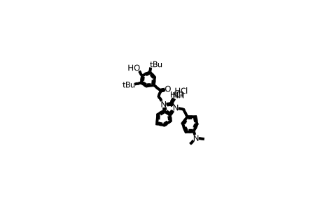 CN(C)c1ccc(Cn2c(=N)n(CC(=O)c3cc(C(C)(C)C)c(O)c(C(C)(C)C)c3)c3ccccc32)cc1.Cl.Cl